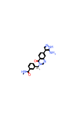 CNC(=O)c1cccc([C@@H](C)n2cnc3cc(-c4cn[nH]c4N)ccc3c2=O)c1